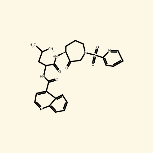 CC(C)CC(NC(=O)c1ccnc2ccccc12)C(=O)N[C@H]1CCCN(S(=O)(=O)c2ccccn2)CC1=O